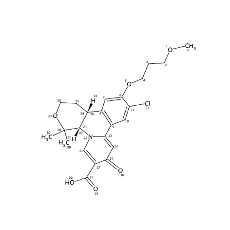 COCCCOc1cc2c(cc1Cl)-c1cc(=O)c(C(=O)O)cn1[C@H]1[C@@H]2CCOC1(C)C